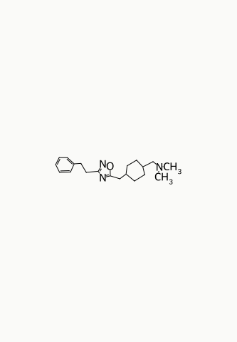 CN(C)CC1CCC(Cc2nc(CCc3ccccc3)no2)CC1